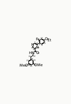 CCOc1ccc(-c2cncc(C(=O)NCCc3cc(OC)cc(OC)c3)n2)c(F)c1